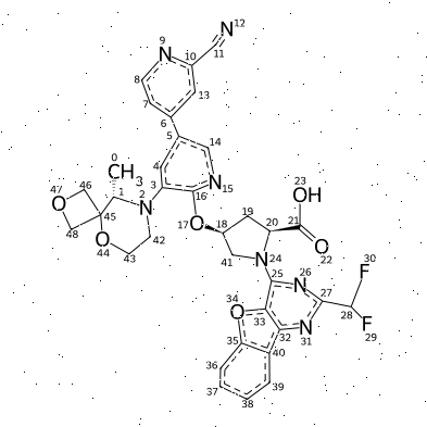 C[C@@H]1N(c2cc(-c3ccnc(C#N)c3)cnc2O[C@H]2C[C@@H](C(=O)O)N(c3nc(C(F)F)nc4c3oc3ccccc34)C2)CCOC12COC2